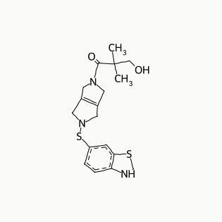 CC(C)(CO)C(=O)N1CC2=C(CN(Sc3ccc4c(c3)SCN4)C2)C1